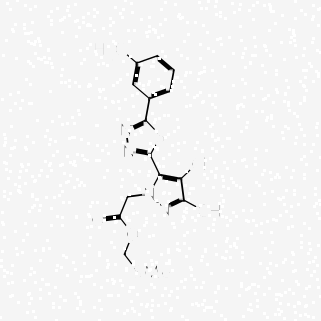 CSCOC(=O)Cn1nc(C)c(Cl)c1-c1nnc(-c2cccc(C)c2)s1